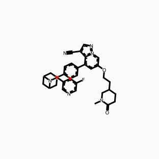 CN1CC(CCOc2cc(-c3ccc(N4CC5CC(C4)N5Cc4cncc(F)c4)nc3)c3c(C#N)cnn3c2)CCC1=O